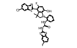 CC1(C)CN(c2ccccc2NC(=O)Nc2nc3ccc(F)cc3s2)c2c(O)cc(F)c(-c3nc4ccc(Cl)cc4s3)c21